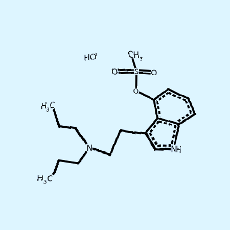 CCCN(CCC)CCc1c[nH]c2cccc(OS(C)(=O)=O)c12.Cl